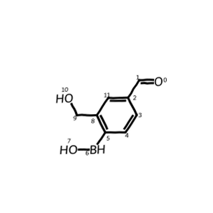 O=Cc1ccc(BO)c(CO)c1